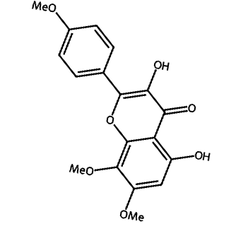 COc1ccc(-c2oc3c(OC)c(OC)cc(O)c3c(=O)c2O)cc1